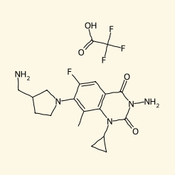 Cc1c(N2CCC(CN)C2)c(F)cc2c(=O)n(N)c(=O)n(C3CC3)c12.O=C(O)C(F)(F)F